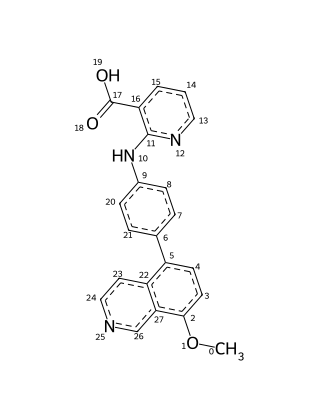 COc1ccc(-c2ccc(Nc3ncccc3C(=O)O)cc2)c2ccncc12